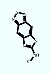 ClNc1nc2cc3nsnc3cc2s1